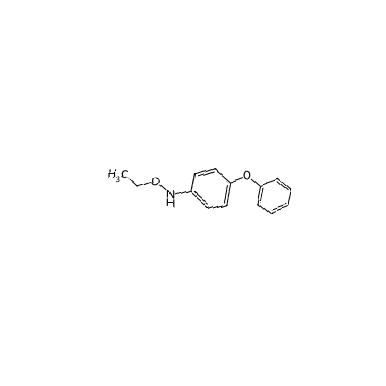 CCONc1ccc(Oc2ccccc2)cc1